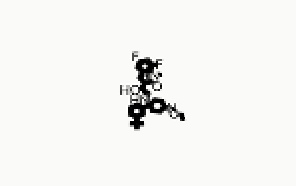 CCON=C1CCC(NCC(O)C(Cc2cc(F)cc(F)c2)C(=O)NC)(c2cccc(C(C)(C)C)c2)CC1